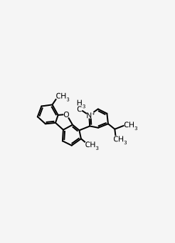 Cc1ccc2c(oc3c(C)cccc32)c1-c1cc(C(C)C)cc[n+]1C